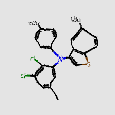 Cc1cc(Cl)c(Cl)c(N(c2ccc(C(C)(C)C)cc2)c2csc3ccc(C(C)(C)C)cc23)c1